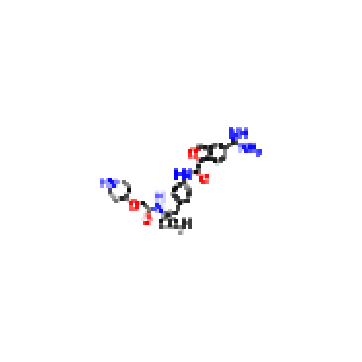 N=C(N)c1ccc2c(C(=O)Nc3ccc(C[C@H](NC(=O)COC4CCNCC4)C(=O)O)cc3)occ2c1